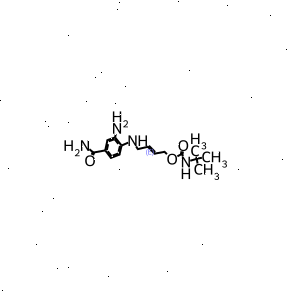 CC(C)(C)NC(=O)OC/C=C/CNc1ccc(C(N)=O)cc1N